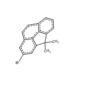 CC1(C)c2cccc3ccc4cc(Br)cc1c4c23